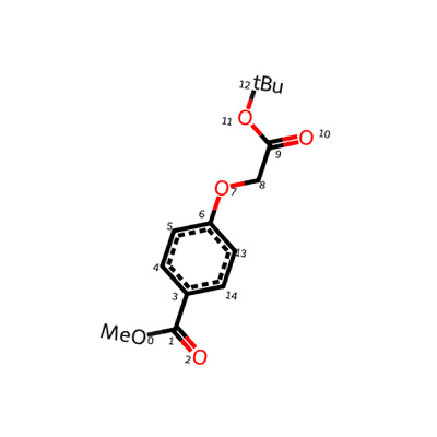 COC(=O)c1ccc(OCC(=O)OC(C)(C)C)cc1